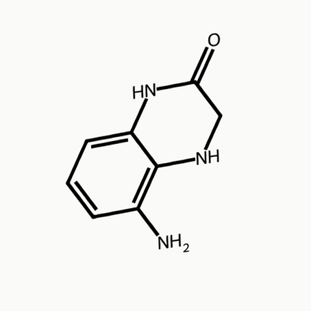 Nc1cccc2c1NCC(=O)N2